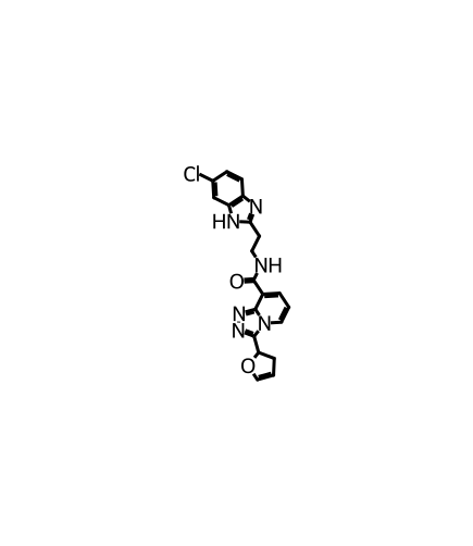 O=C(NCCc1nc2ccc(Cl)cc2[nH]1)c1cccn2c(C3CC=CO3)nnc12